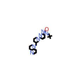 Cn1c(=O)n(CC(C)(C)C)c2ccc(N3CCCC(CN4CCCc5ncccc54)C3)nc21